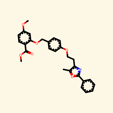 COC(=O)c1ccc(OC)cc1OCc1ccc(OCCc2nc(-c3ccccc3)oc2C)cc1